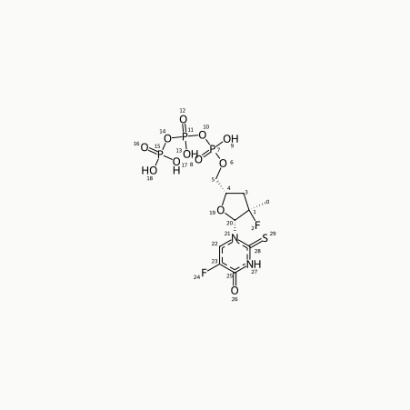 C[C@@]1(F)C[C@@H](COP(=O)(O)OP(=O)(O)OP(=O)(O)O)O[C@H]1n1cc(F)c(=O)[nH]c1=S